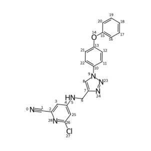 N#Cc1cc(NCc2cn(-c3ccc(Oc4ccccc4)cc3)nn2)cc(Cl)n1